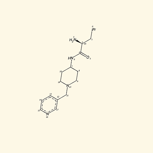 CC(C)C[C@H](N)C(=O)NC1CCN(Cc2cccnc2)CC1